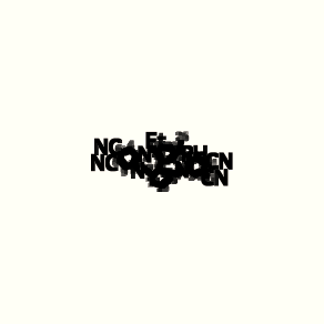 CC/C1=N\c2cc(C#N)c(C#N)cc2/N=C/C2CC=CC3=C2c2c1cccc2C(C)Pc1cc(C#N)c(C#N)cc1/N=C/3